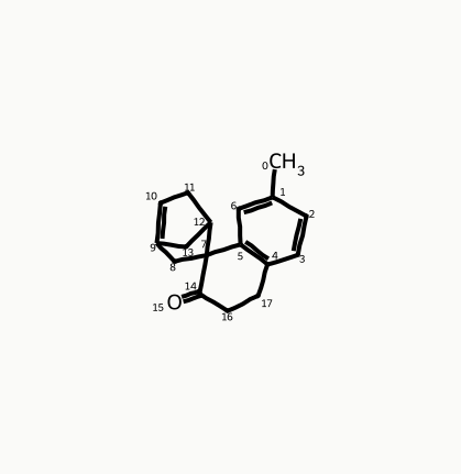 Cc1ccc2c(c1)C1(CC3=CCC1C3)C(=O)CC2